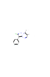 CC(C)c1c(C(=O)O)cnc2c(-c3ccc(F)c(F)c3)c(Cl)nn12